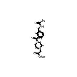 COC(=O)CN1CCN(C(=O)c2cccc(CNC(=O)C(C)(C)C)c2)CC1